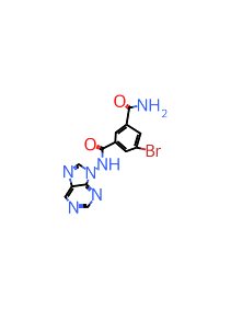 NC(=O)c1cc(Br)cc(C(=O)Nn2cnc3cncnc32)c1